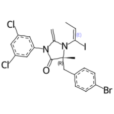 C=C1N(c2cc(Cl)cc(Cl)c2)C(=O)[C@@](C)(Cc2ccc(Br)cc2)N1/C(I)=C\C